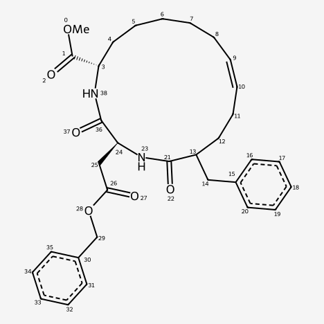 COC(=O)[C@@H]1CCCCC/C=C\CCC(Cc2ccccc2)C(=O)N[C@@H](CC(=O)OCc2ccccc2)C(=O)N1